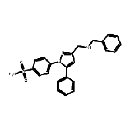 NS(=O)(=O)c1ccc(-n2nc(CNCc3ccccc3)cc2-c2ccccc2)cc1